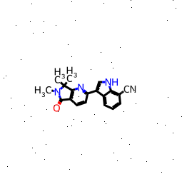 CN1C(=O)c2ccc(-c3c[nH]c4c(C#N)cccc34)nc2C1(C)C